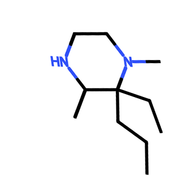 CCCC1(CC)C(C)NCCN1C